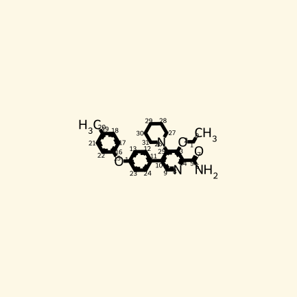 CCOc1c(C(N)=O)ncc(-c2ccc(Oc3ccc(C)cc3)cc2)c1N1CCCCC1